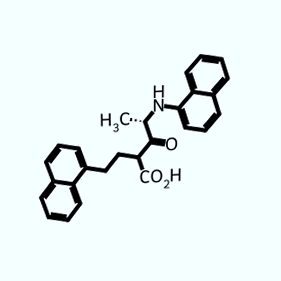 C[C@H](Nc1cccc2ccccc12)C(=O)C(CCc1cccc2ccccc12)C(=O)O